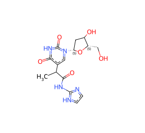 CC(C(=O)Nc1ncc[nH]1)c1cn([C@@H]2CC(O)[C@H](CO)O2)c(=O)[nH]c1=O